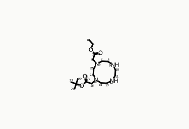 CCOC(=O)CN1CCNCCNCCN(CC(=O)OC(C)(C)C)CC1